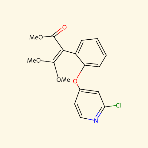 COC(=O)C(=C(OC)OC)c1ccccc1Oc1ccnc(Cl)c1